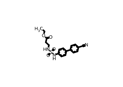 CCOC(=O)CCNS(=O)(=O)Nc1ccc(-c2ccc(C#N)cc2)cc1